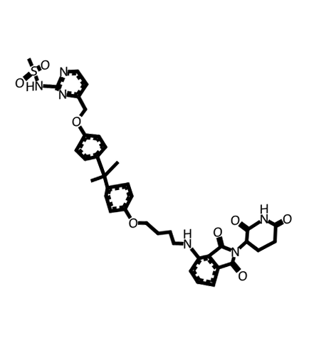 CC(C)(c1ccc(OCCCCNc2cccc3c2C(=O)N(C2CCC(=O)NC2=O)C3=O)cc1)c1ccc(OCc2ccnc(NS(C)(=O)=O)n2)cc1